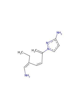 C=C(/C=C\C(=C/N)CC)n1ccc(N)n1